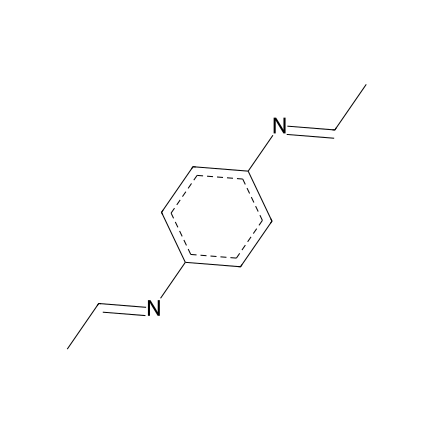 C/C=N/c1ccc(/N=C/C)cc1